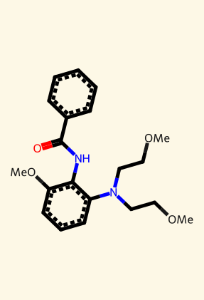 COCCN(CCOC)c1cccc(OC)c1NC(=O)c1ccccc1